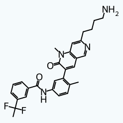 Cc1ccc(NC(=O)c2cccc(C(C)(F)F)c2)cc1-c1cc2cnc(CCCCN)cc2n(C)c1=O